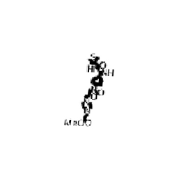 COC(=O)CCN1CCN(CC2CN(c3ccc(C(=N)NC(=O)c4ccsc4)cc3)C(=O)O2)CC1